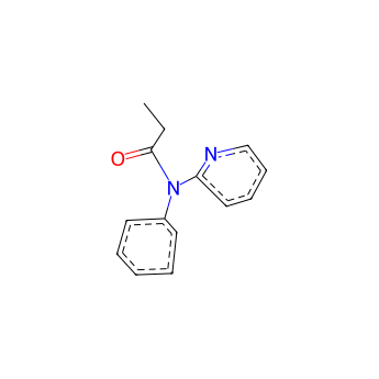 CCC(=O)N(c1ccccc1)c1ccccn1